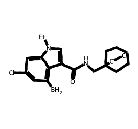 Bc1cc(Cl)cc2c1c(C(=O)NCC13CCC(CC1)CC3)cn2CC